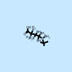 BN(C(C)(C)C)C(B)(B)C(B)(B)C(B)(B)C(=O)O